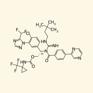 CC(C)(C)CCNC(=N)N(C(=O)c1ccc(-c2cnccn2)cc1)[C@H](COC(=O)NC1(C(F)(F)F)CC1)c1ccc(Cl)c(-n2ncnc2C(F)F)c1